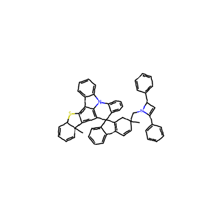 CC1(CN2C(c3ccccc3)=CC2c2ccccc2)C=CC2=C(C1)C1(c3ccccc32)c2ccccc2-n2c3ccccc3c3c4c(cc1c32)C1(C)C=CC=CC1S4